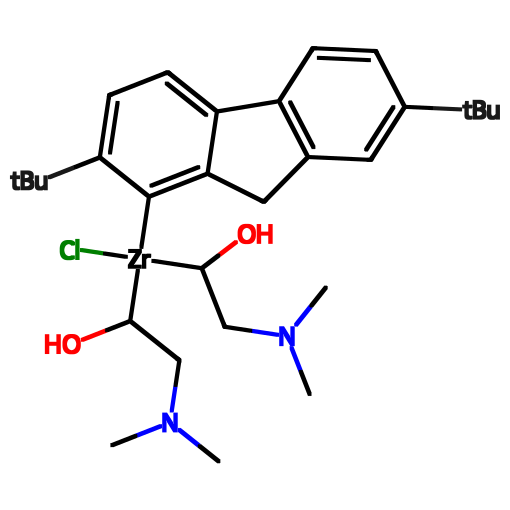 CN(C)C[CH](O)[Zr]([Cl])([c]1c(C(C)(C)C)ccc2c1Cc1cc(C(C)(C)C)ccc1-2)[CH](O)CN(C)C